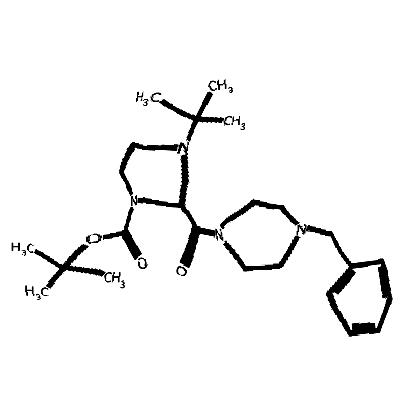 CC(C)(C)OC(=O)N1CCN(C(C)(C)C)CC1C(=O)N1CCN(Cc2ccccc2)CC1